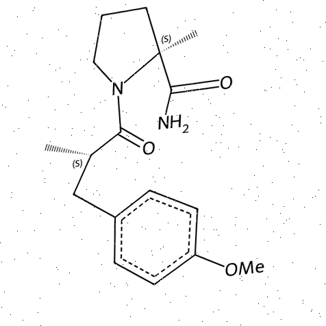 COc1ccc(C[C@H](C)C(=O)N2CCC[C@@]2(C)C(N)=O)cc1